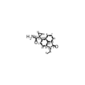 CCN1C(=O)c2cccc3c(C4(C(N)=O)CC4)ccc1c23